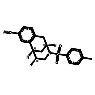 COc1ccc2c(c1)[C@@H]1C[C@H](C2)N(S(=O)(=O)c2ccc(C)cc2)C[C@H]1C